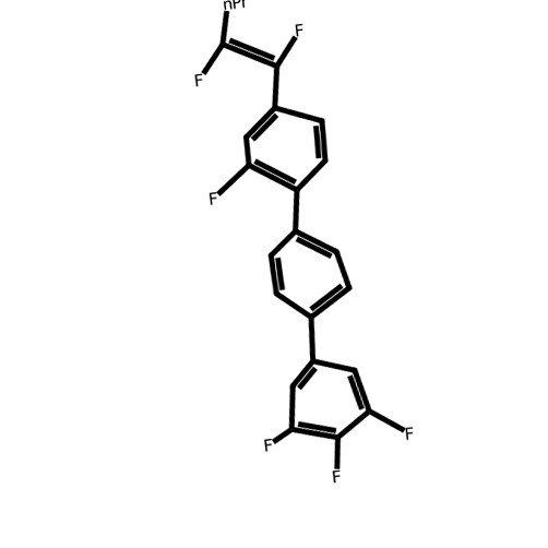 CCC/C(F)=C(\F)c1ccc(-c2ccc(-c3cc(F)c(F)c(F)c3)cc2)c(F)c1